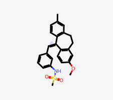 COc1ccc2c(c1)CCc1cc(C)ccc1/C2=C/c1cccc(NS(C)(=O)=O)c1